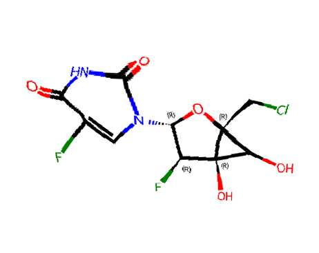 O=c1[nH]c(=O)n([C@@H]2O[C@]3(CCl)C(O)[C@]3(O)[C@H]2F)cc1F